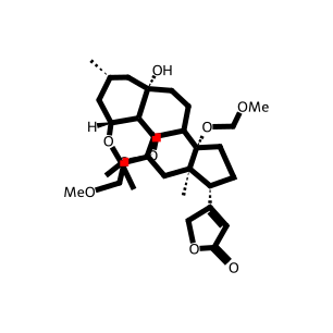 COCO[C@@H]1C[C@]2(C)[C@@H](C3=CC(=O)OC3)CC[C@]2(OCOC)C2CC[C@]3(O)C[C@@H](C)C[C@H]4OC(C)(C)OC[C@]43C21